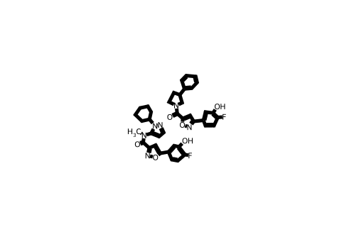 CN(C(=O)c1cc(-c2ccc(F)c(O)c2)on1)c1ccnn1C1CCCCC1.O=C(c1cc(-c2ccc(F)c(O)c2)no1)N1CCC(c2ccccc2)C1